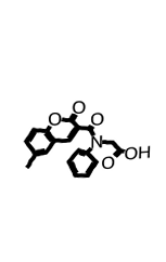 Cc1ccc2oc(=O)c(C(=O)N(CC(=O)O)c3ccccc3)cc2c1